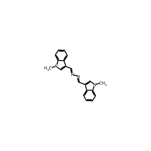 Cn1cc(C=NN=Cc2cn(C)c3ccccc23)c2ccccc21